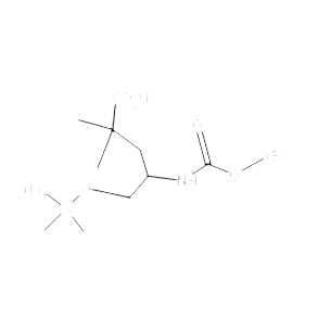 CC(C)(C)OC(=O)NC(CO[Si](C)(C)C(C)(C)C)CC(C)(C)C(=O)O